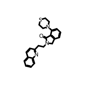 O=C1c2c(cccc2N2CCSCC2)CN1CCc1ccc2ccccc2n1